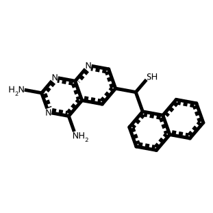 Nc1nc(N)c2cc(C(S)c3cccc4ccccc34)cnc2n1